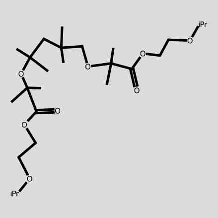 CC(C)OCCOC(=O)C(C)(C)OCC(C)(C)CC(C)(C)OC(C)(C)C(=O)OCCOC(C)C